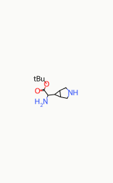 CC(C)(C)OC(=O)C(N)C1C2CNCC21